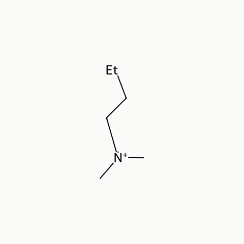 CCCC[N+](C)C